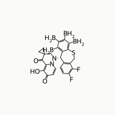 Bc1c(B)c(B)c2c(c1B)SCc1c(ccc(F)c1F)[C@@H]2N1CC2(CC2)C(=O)c2c(O)c(=O)ccn21